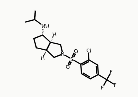 CC(C)N[C@H]1CC[C@@H]2CN(S(=O)(=O)c3ccc(C(F)(F)F)cc3Cl)C[C@@H]21